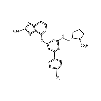 CC(=O)Nc1nc2c(Oc3cc(-c4ccc(C(F)(F)F)cc4)nc(NC[C@@H]4CCCN4C(=O)O)n3)cccc2s1